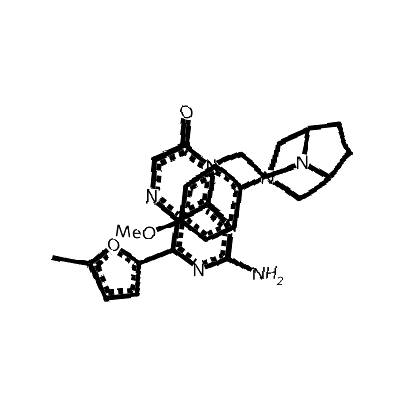 COc1ccc(N2CC3CCC(C2)N3CCn2c(=O)cnc3c(-c4ccc(C)o4)nc(N)nc32)cc1